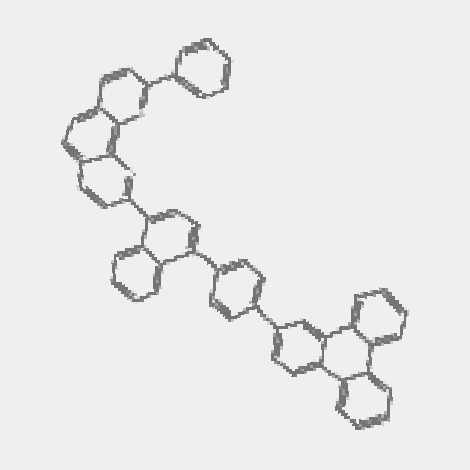 c1ccc(-c2ccc3ccc4ccc(-c5ccc(-c6ccc(-c7ccc8c9ccccc9c9ccccc9c8c7)cc6)c6ccccc56)nc4c3n2)cc1